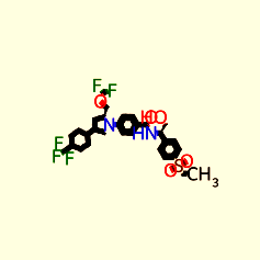 CCS(=O)(=O)c1ccc([C@H](CO)NC(=O)c2ccc(N3CC(C4CCC(C(F)(F)F)CC4)C[C@H]3COC(F)F)cc2)cc1